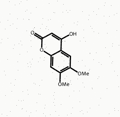 COc1cc2oc(=O)cc(O)c2cc1OC